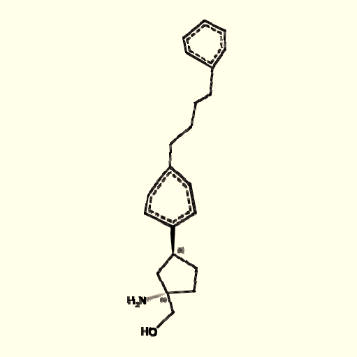 N[C@@]1(CO)CC[C@H](c2ccc(CCCCc3ccccc3)cc2)C1